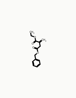 C=C(CC(=O)OCc1ccccc1)C(=O)OCC